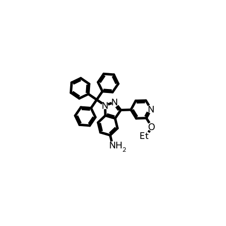 CCOc1cc(-c2nn(C(c3ccccc3)(c3ccccc3)c3ccccc3)c3ccc(N)cc23)ccn1